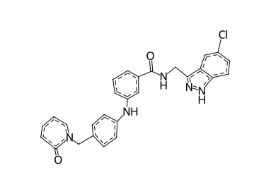 O=C(NCc1n[nH]c2ccc(Cl)cc12)c1cccc(Nc2ccc(Cn3ccccc3=O)cc2)c1